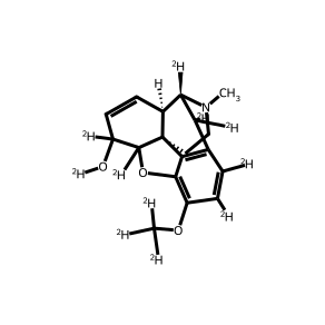 [2H]OC1([2H])C=C[C@@H]2[C@@]34CCN(C)[C@]2([2H])C([2H])([2H])c2c([2H])c([2H])c(OC([2H])([2H])[2H])c(c23)OC14[2H]